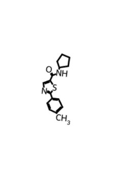 Cc1ccc(-c2ncc(C(=O)NC3CCCC3)s2)cc1